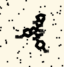 COc1ccc(CC(C)(NC(=O)NC2CCC(O)CC2)c2nc3ccccc3[nH]2)cc1